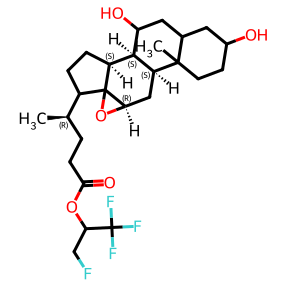 C[C@H](CCC(=O)OC(CF)C(F)(F)F)C1CC[C@H]2[C@H]3C(O)CC4CC(O)CCC4(C)[C@H]3C[C@H]3OC132